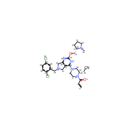 C=CC(=O)N1CCN(c2nc(OC[C@@H]3CCCN3C)nc3c2CN(Cc2cc(Cl)ccc2Cl)C3)C[C@@H]1CC#N